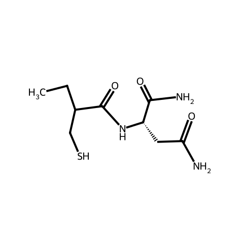 CCC(CS)C(=O)N[C@@H](CC(N)=O)C(N)=O